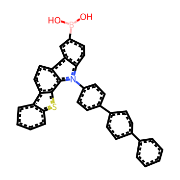 OB(O)c1ccc2c(c1)c1ccc3c4ccccc4sc3c1n2-c1ccc(-c2ccc(-c3ccccc3)cc2)cc1